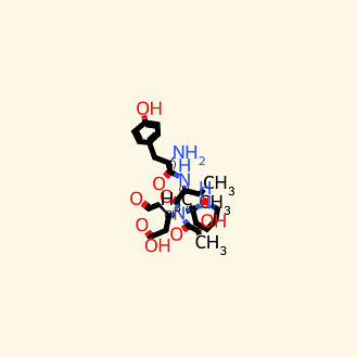 CC(O)C(=O)[N+](C(=O)[C@@H](NC(=O)[C@@H](N)Cc1ccc(O)cc1)C(C)C)([C@H](CC=O)CC(=O)O)[C@@]1(C)CCCCN1